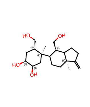 C=C1CCC2[C@H](CO)C([C@@]3(C)C[C@@H](O)[C@@H](O)C[C@@H]3CO)CC[C@]12C